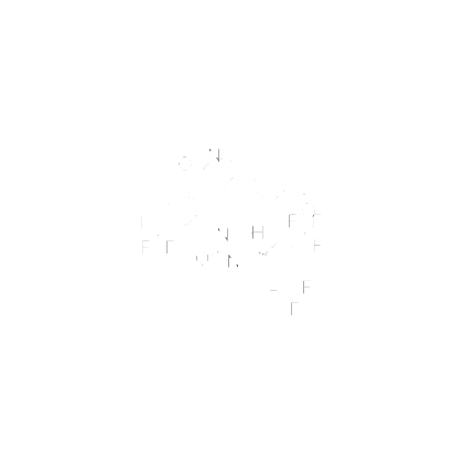 COc1ncc(-c2ccc(C(C)=O)cc2C)cc1-c1ccc(C(F)(F)F)cc1[C@@H]1CC[C@H]2[C@@H](c3cc(C(F)(F)F)cc(C(F)(F)F)c3)N(C)C(=O)N12